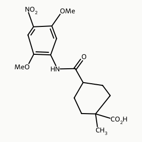 COc1cc([N+](=O)[O-])c(OC)cc1NC(=O)C1CCC(C)(C(=O)O)CC1